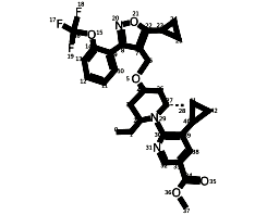 CCC1CC(OCc2c(-c3ccccc3OC(F)(F)F)noc2C2CC2)C[C@H](C)N1c1ncc(C(=O)OC)cc1C1CC1